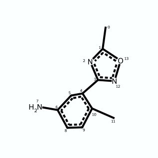 Cc1nc(-c2cc(N)ccc2C)no1